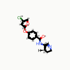 O=C(NC1CN2CC[C@H]1C2)c1ccc(Oc2cc(Cl)co2)cc1